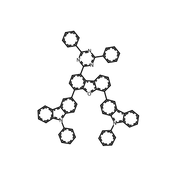 c1ccc(-c2nc(-c3ccccc3)nc(-c3ccc(-c4ccc5c(c4)c4ccccc4n5-c4ccccc4)c4oc5c(-c6ccc7c(c6)c6ccccc6n7-c6ccccc6)cccc5c34)n2)cc1